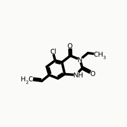 C=Cc1cc(Cl)c2c(=O)n(CC)c(=O)[nH]c2c1